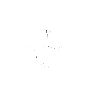 CC([C]=O)N(N)C=O